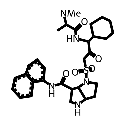 CNC(C)C(=O)NC(C(=O)CS(=O)(=O)N1CCC2NCC(C(=O)Nc3cccc4ccccc34)C21)C1CCCCC1